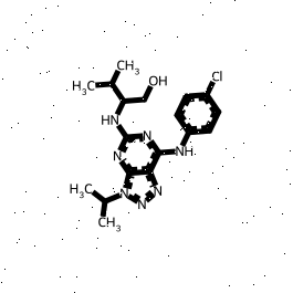 CC(C)C(CO)Nc1nc(Nc2ccc(Cl)cc2)c2nnn(C(C)C)c2n1